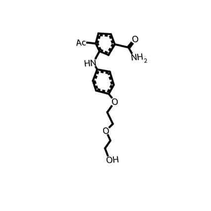 CC(=O)c1ccc(C(N)=O)cc1Nc1ccc(OCCOCCO)cc1